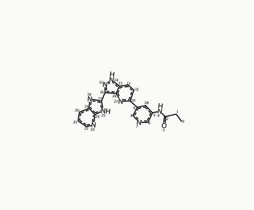 CCC(=O)Nc1cncc(-c2ccc3[nH]nc(-c4nc5cccnc5[nH]4)c3n2)c1